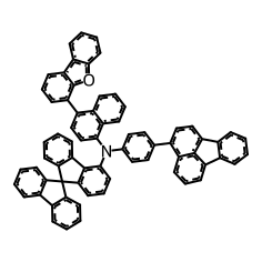 c1ccc2c(c1)-c1cccc3c(-c4ccc(N(c5cccc6c5-c5ccccc5C65c6ccccc6-c6ccccc65)c5ccc(-c6cccc7c6oc6ccccc67)c6ccccc56)cc4)ccc-2c13